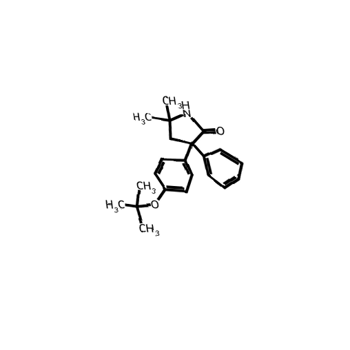 CC1(C)CC(c2ccccc2)(c2ccc(OC(C)(C)C)cc2)C(=O)N1